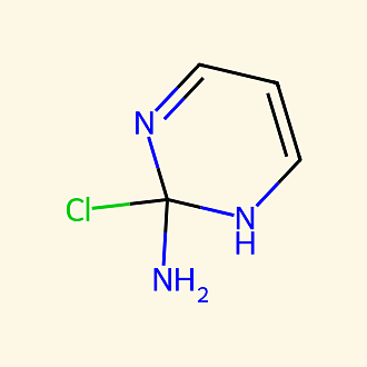 NC1(Cl)N=CC=CN1